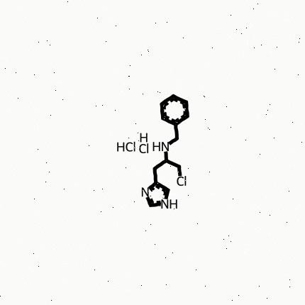 Cl.Cl.ClCC(Cc1c[nH]cn1)NCc1ccccc1